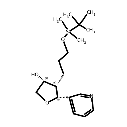 CC(C)(C)[Si](C)(C)OCCC[C@H]1[C@@H](O)CO[C@H]1c1cccnc1